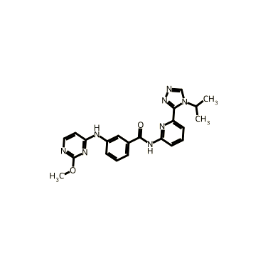 COc1nccc(Nc2cccc(C(=O)Nc3cccc(-c4nncn4C(C)C)n3)c2)n1